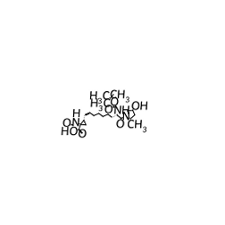 CC1C[C@@H](O)CN1C(=O)[C@H](CCCCC/C=C\[C@@H]1C[C@]1(NC=O)C(=O)O)NC(=O)OC(C)(C)C